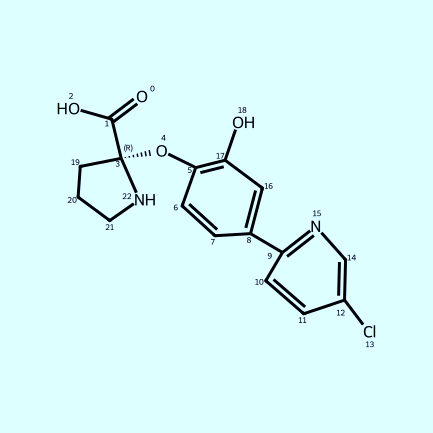 O=C(O)[C@]1(Oc2ccc(-c3ccc(Cl)cn3)cc2O)CCCN1